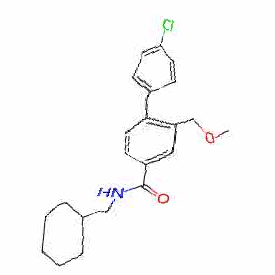 COCc1cc(C(=O)NCC2CCCCC2)ccc1-c1ccc(Cl)cc1